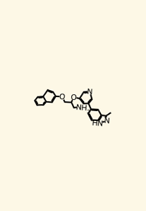 Cc1n[nH]c2ccc(-c3cncc(OC(CN)COc4ccc5ccccc5c4)c3)cc12